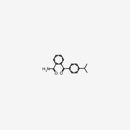 CC(C)c1ccc(C(=O)c2ccccc2C(N)=O)cc1